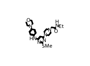 CCNC(=O)CN1CCN(c2cc(Nc3ccc(N4CCOCC4)cc3)nc(SC)n2)CC1